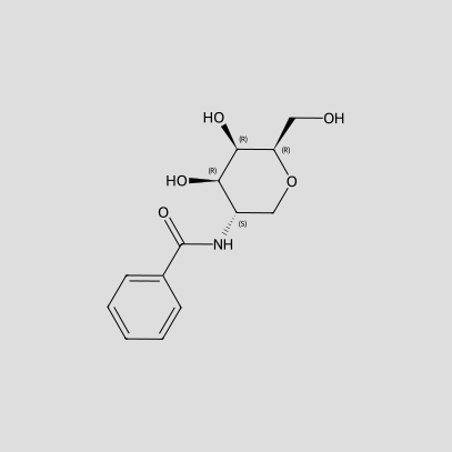 O=C(N[C@H]1CO[C@H](CO)[C@H](O)[C@@H]1O)c1ccccc1